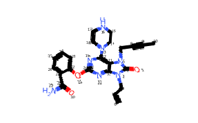 C=CCn1c(=O)n(CC#CC)c2c(N3CCNCC3)nc(Oc3ccccc3C(N)=O)nc21